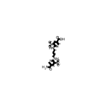 NC(=O)c1cnc(NCC=CCNc2ncc(C(=O)O)cc2[N+](=O)[O-])c([N+](=O)[O-])c1